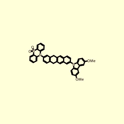 COc1ccc2c(c1)c1cc(OC)ccc1n2-c1ccc2cc3c(cc2c1)Cc1ccc(N2c4ccccc4S(=O)(=O)c4ccccc42)cc1C3